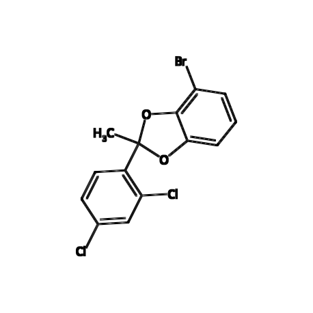 CC1(c2ccc(Cl)cc2Cl)Oc2cccc(Br)c2O1